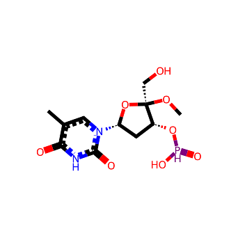 CO[C@]1(CO)O[C@@H](n2cc(C)c(=O)[nH]c2=O)C[C@H]1O[PH](=O)O